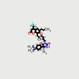 CCCc1cc2c(C(F)(F)F)cc(=O)oc2c(CCC)c1OCCCCN1C(=O)NC(C)(c2ccc(N(C)C)cc2)C1=O